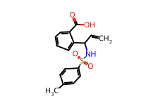 C=CC(NS(=O)(=O)c1ccc(C)cc1)c1ccccc1C(=O)O